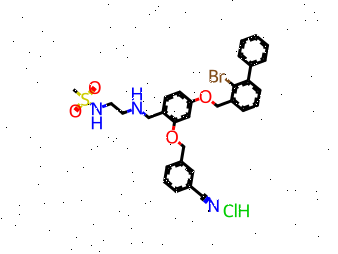 CS(=O)(=O)NCCNCc1ccc(OCc2cccc(-c3ccccc3)c2Br)cc1OCc1cccc(C#N)c1.Cl